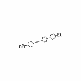 CCCC1CC=C(C#Cc2ccc(-c3ccc(CC)cc3)cc2)CC1